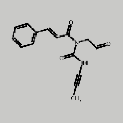 CC#CNC(=O)N(C[C]=O)C(=O)C=Cc1ccccc1